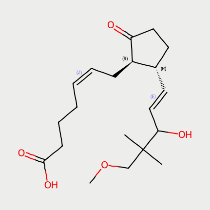 COCC(C)(C)C(O)/C=C/[C@H]1CCC(=O)[C@@H]1C/C=C\CCCC(=O)O